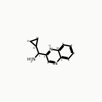 NC(c1cnc2ccccc2n1)C1CC1